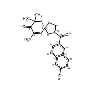 CC1(C)C[C@]2(C=C(N)C1=O)CCN(C(=O)c1cnc3cc(Cl)ccc3c1)C2